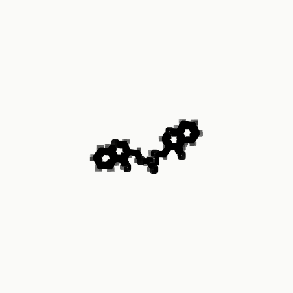 O=c1c(CO[PH](=O)OCc2coc3ccccc3c2=O)coc2ccccc12